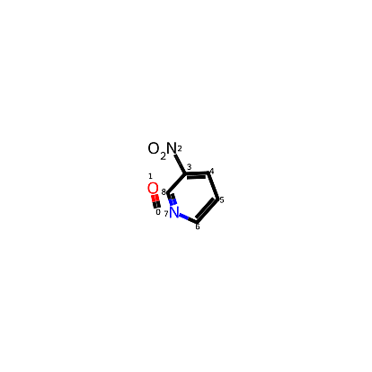 C=O.O=[N+]([O-])c1cccnc1